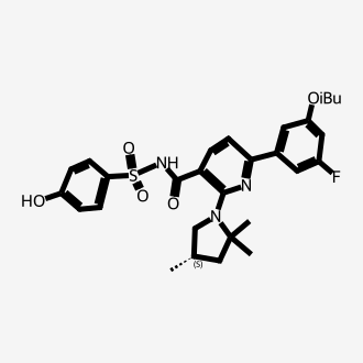 CC(C)COc1cc(F)cc(-c2ccc(C(=O)NS(=O)(=O)c3ccc(O)cc3)c(N3C[C@@H](C)CC3(C)C)n2)c1